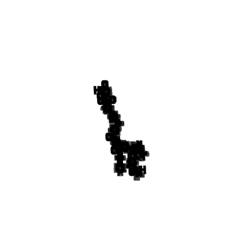 Cc1cc(F)c(Nc2nc(-c3ccc4c(c3)N([C@H]3C[C@@H](N5CCCCC5)C3)C(=O)C43CCN(C(=O)c4ccc(N(C)C5CCN(c6ccc7c(c6)C(=O)N(C6CCC(=O)NC6=O)C7=O)CC5)cc4)CC3)cc3ncn(C(C)C)c23)cc1C(=O)NC(C)C